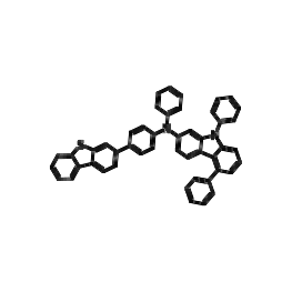 c1ccc(-c2cccc3c2c2ccc(N(c4ccccc4)c4ccc(-c5ccc6c(c5)sc5ccccc56)cc4)cc2n3-c2ccccc2)cc1